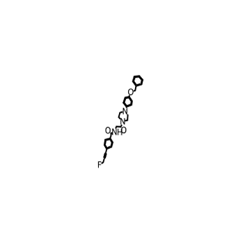 O=C(NCC(=O)N1CCN(c2ccc(OCc3ccccc3)cc2)CC1)c1ccc(C#CCF)cc1